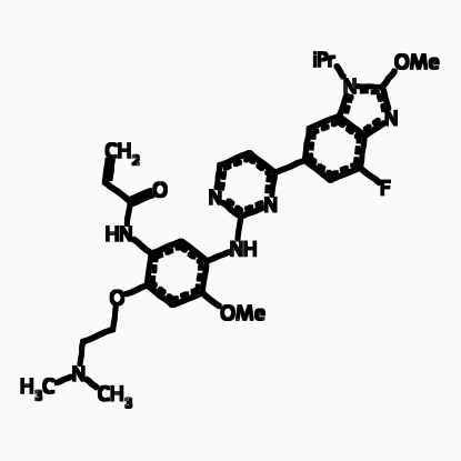 C=CC(=O)Nc1cc(Nc2nccc(-c3cc(F)c4nc(OC)n(C(C)C)c4c3)n2)c(OC)cc1OCCN(C)C